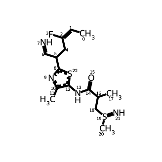 C/C=C(/F)CC(C=N)c1nc(C)c(NC(=O)C(C)CS(C)=N)s1